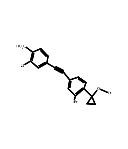 CCOC1(c2ccc(C#Cc3ccc(C(=O)O)c(CC)c3)cc2C(C)C)CC1